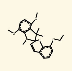 CCOc1cccc2c1OC1(C=C2)N(C)c2c(OC)ccc(OC)c2C1(C)C